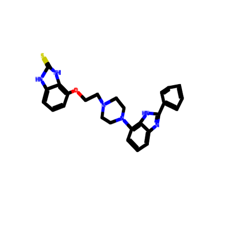 S=c1[nH]c2cccc(OCCN3CCN(c4cccc5nc(-c6ccccc6)[nH]c45)CC3)c2[nH]1